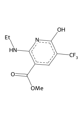 CCNc1nc(O)c(C(F)(F)F)cc1C(=O)OC